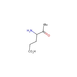 CC(C)(C)C(=O)C(N)CCC(=O)O